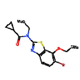 COCOc1c(Br)ccc2nc(N(COC)C(=O)C3CC3)sc12